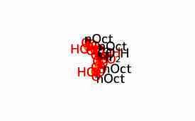 CCCCCCCCOP(=O)(O)OP(=O)(OCCCCCCCC)OC([O][Ti](=[O])[OH])(OP(=O)(OCCCCCCCC)OP(=O)(O)OCCCCCCCC)C(=O)O